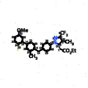 CCOC(=O)C[C@H]1[C@H](C)C(C(F)(F)F)=NN1c1ccc(Cc2ccc(-c3cc(OC)ccc3F)cc2C)cc1